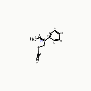 N#CCC/C(=N\O)c1ccccc1